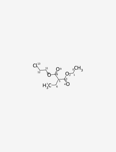 CCOC(=O)C(CC)C(=O)OCCCl